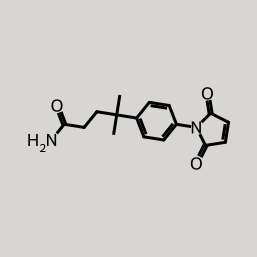 CC(C)(CCC(N)=O)c1ccc(N2C(=O)C=CC2=O)cc1